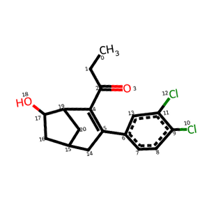 CCC(=O)C1=C(c2ccc(Cl)c(Cl)c2)CC2CC(O)C1C2